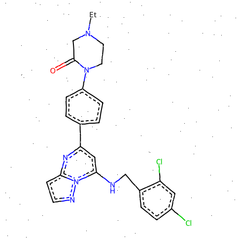 CCN1CCN(c2ccc(-c3cc(NCc4ccc(Cl)cc4Cl)n4nccc4n3)cc2)C(=O)C1